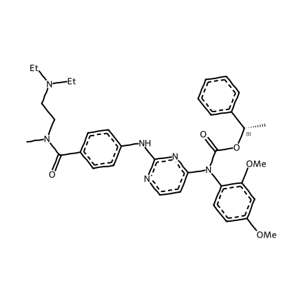 CCN(CC)CCN(C)C(=O)c1ccc(Nc2nccc(N(C(=O)O[C@@H](C)c3ccccc3)c3ccc(OC)cc3OC)n2)cc1